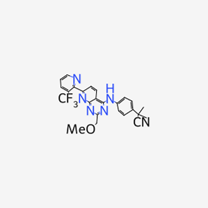 COCc1nc(Nc2ccc(C(C)(C)C#N)cc2)c2ccc(-c3ncccc3C(F)(F)F)nc2n1